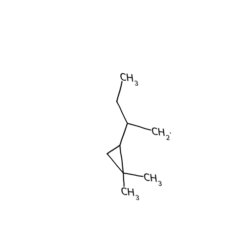 [CH2]C(CC)C1CC1(C)C